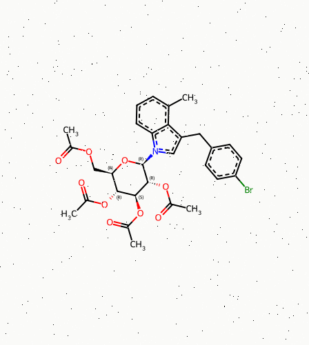 CC(=O)OC[C@H]1O[C@@H](n2cc(Cc3ccc(Br)cc3)c3c(C)cccc32)[C@H](OC(C)=O)[C@@H](OC(C)=O)[C@@H]1OC(C)=O